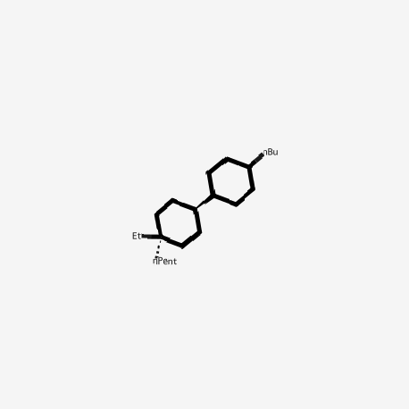 CCCCC[C@]1(CC)CC[C@@H](C2CCC(CCCC)CC2)CC1